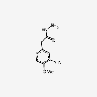 COc1ccc(CC(=O)NN)cc1C#N